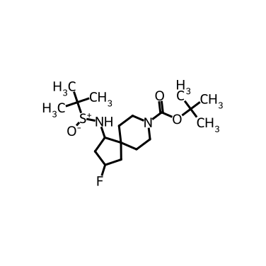 CC(C)(C)OC(=O)N1CCC2(CC1)CC(F)CC2N[S+]([O-])C(C)(C)C